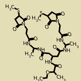 CCOC(C)C(=O)NC(CC(=O)NC(C)NC(=O)CCN1C(=O)CC(SC)C1=O)CC(=O)NC(C)NC(=O)CCN1C(=O)CC(SC)C1=O